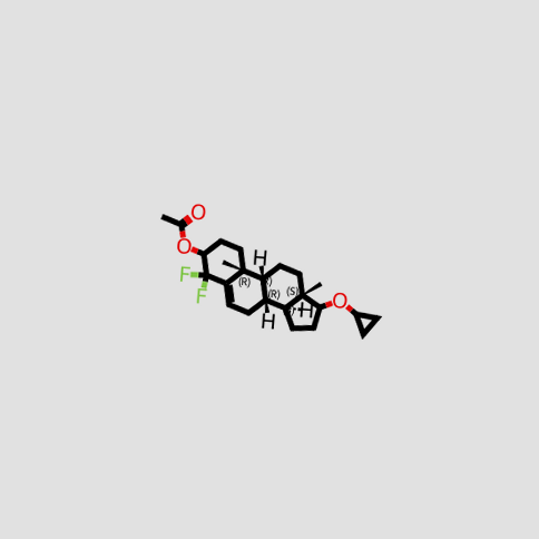 CC(=O)OC1CC[C@@]2(C)C(=CC[C@@H]3[C@H]2CC[C@]2(C)C(OC4CC4)CC[C@@H]32)C1(F)F